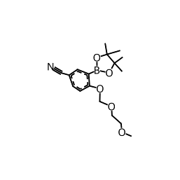 COCCOCOc1ccc(C#N)cc1B1OC(C)(C)C(C)(C)O1